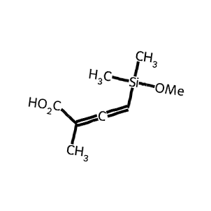 CO[Si](C)(C)C=C=C(C)C(=O)O